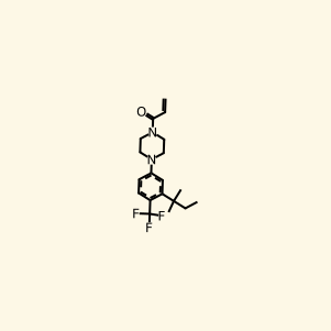 C=CC(=O)N1CCN(c2ccc(C(F)(F)F)c(C(C)(C)CC)c2)CC1